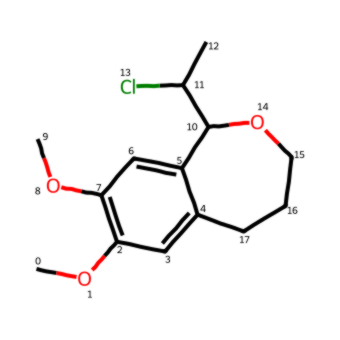 COc1cc2c(cc1OC)C(C(C)Cl)OCCC2